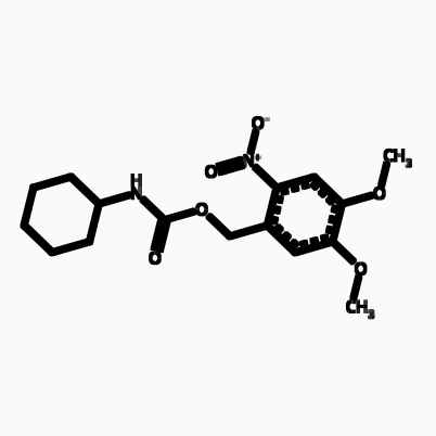 COc1cc(COC(=O)NC2CCCCC2)c([N+](=O)[O-])cc1OC